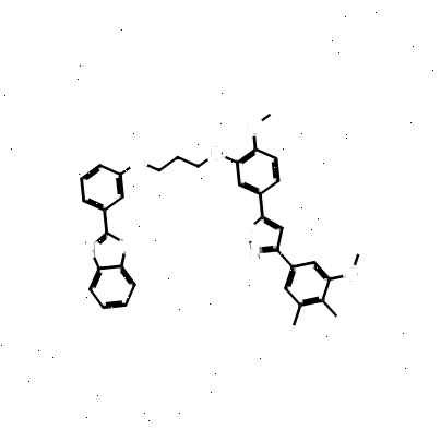 COc1ccc(-c2cc(-c3cc(C)c(C)c(OC)c3)no2)cc1OCCCOc1cccc(-c2nc3ccccc3s2)c1